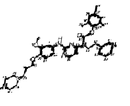 COc1cc(Nc2nccc(N(CCc3cccnc3)C(=O)Oc3c(C)cc(C)cc3C)n2)ccc1OCCCN1CCN(C)CC1